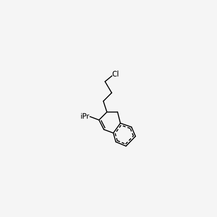 CC(C)C1=Cc2ccccc2CC1CCCCl